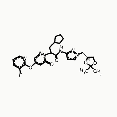 CC1(C)OC[C@@H](Cn2ccc(NC(=O)C(CC3CCCC3)n3ncc(Oc4ncccc4F)cc3=O)n2)O1